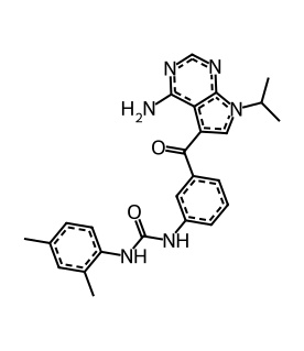 Cc1ccc(NC(=O)Nc2cccc(C(=O)c3cn(C(C)C)c4ncnc(N)c34)c2)c(C)c1